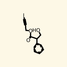 O=C(OCC#CI)C(CO)c1ccccc1